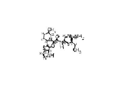 CCc1cc(NC(=O)C(=O)N2C[C@@H](C)CC[C@@H]2c2cc3[nH]ncc3s2)cnc1N